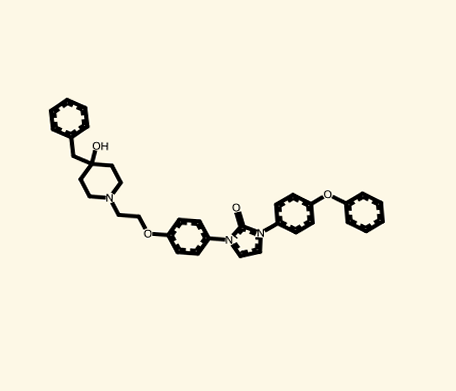 O=c1n(-c2ccc(OCCN3CCC(O)(Cc4ccccc4)CC3)cc2)ccn1-c1ccc(Oc2ccccc2)cc1